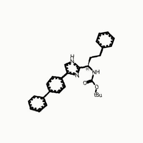 CC(C)(C)OC(=O)N[C@H](CCc1ccccc1)c1nc(-c2ccc(-c3ccccc3)cc2)c[nH]1